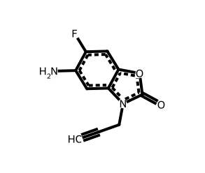 C#CCn1c(=O)oc2cc(F)c(N)cc21